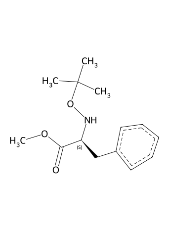 COC(=O)[C@H](Cc1ccccc1)NOC(C)(C)C